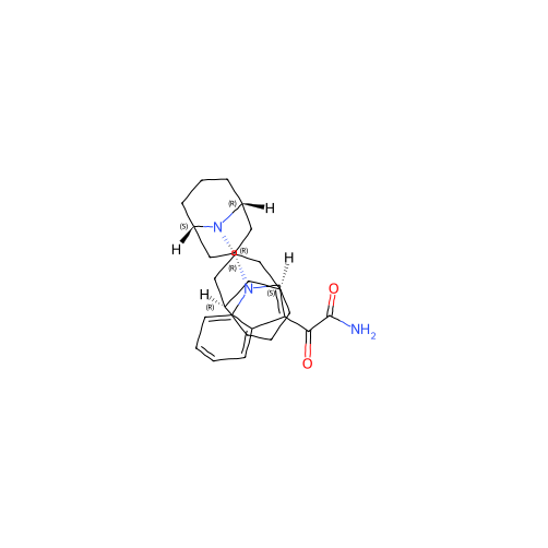 NC(=O)C(=O)c1cn([C@H]2C[C@H]3CCC[C@@H](C2)N3[C@H]2C[C@@H]3CCC[C@@H](C3)C2)c2ccccc12